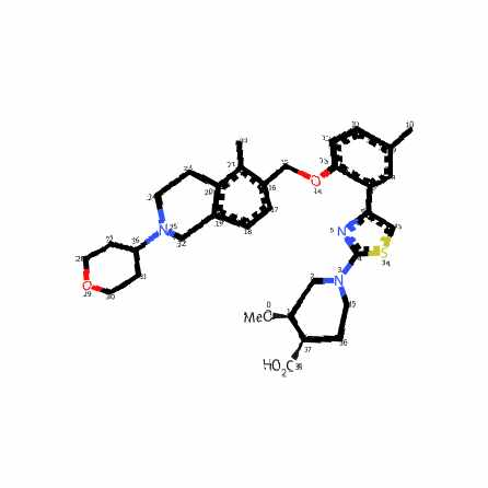 CO[C@H]1CN(c2nc(-c3cc(C)ccc3OCc3ccc4c(c3C)CCN(C3CCOCC3)C4)cs2)CC[C@H]1C(=O)O